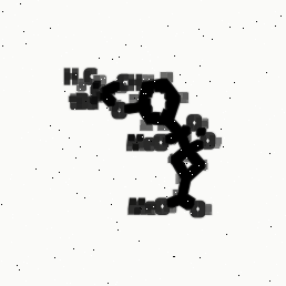 COC(=O)C1CC2(C1)OOC2(OC)c1cccc(O[Si](C)(C)C(C)(C)C)c1